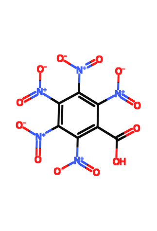 O=C(O)c1c([N+](=O)[O-])c([N+](=O)[O-])c([N+](=O)[O-])c([N+](=O)[O-])c1[N+](=O)[O-]